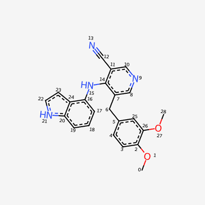 COc1ccc(Cc2cncc(C#N)c2Nc2cccc3[nH]ccc23)cc1OC